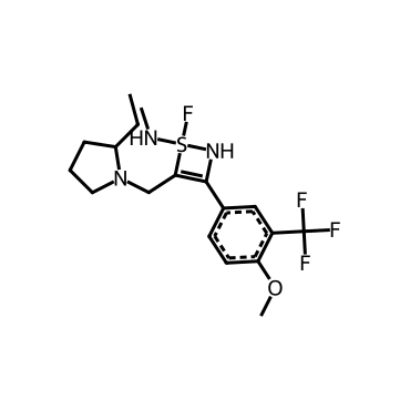 CCC1CCCN1CC1=C(c2ccc(OC)c(C(F)(F)F)c2)NS1(F)NC